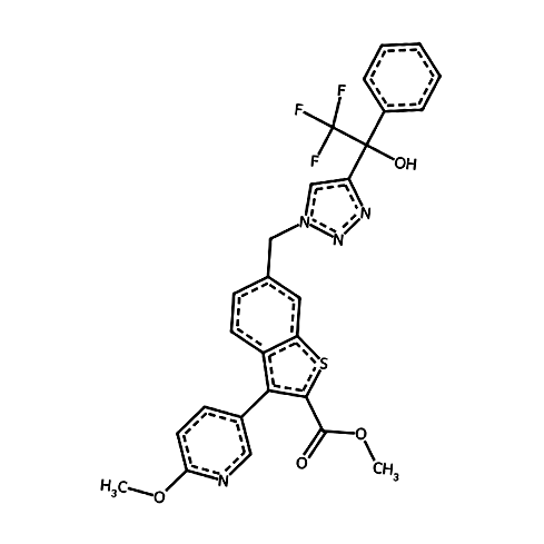 COC(=O)c1sc2cc(Cn3cc(C(O)(c4ccccc4)C(F)(F)F)nn3)ccc2c1-c1ccc(OC)nc1